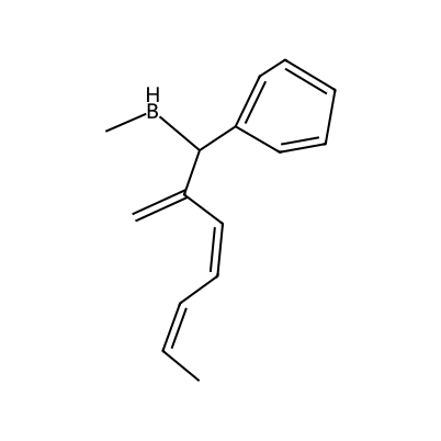 C=C(/C=C\C=C/C)C(BC)c1ccccc1